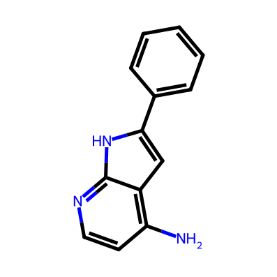 Nc1ccnc2[nH]c(-c3ccccc3)cc12